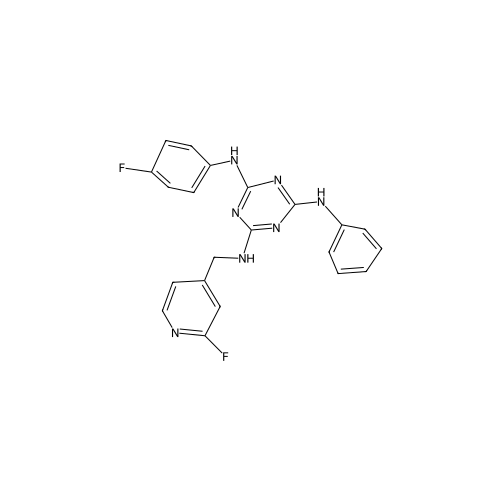 Fc1ccc(Nc2nc(NCc3ccnc(F)c3)nc(Nc3ccccc3)n2)cc1